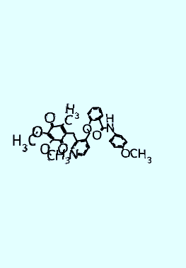 COC1=C(OC)C(=O)C(Cc2cnccc2COc2ccccc2C(=O)Nc2ccc(OC)cc2)=C(C)C1=O